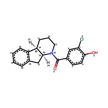 O=C(c1ccc(O)c(Cl)c1)N1CCC[C@@H]2c3ccccc3C[C@@H]21